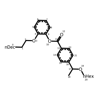 CCCCCCCCCCCCOc1ccccc1OC(=O)c1ccc(C(C)OCCCCCC)cc1